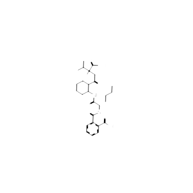 CCCC[C@H](NC(=O)c1ccccc1C(=O)O)C(=O)NC1CCCCC1C(=O)[C@@H](C)C(O)(C(=O)O)C(C)C